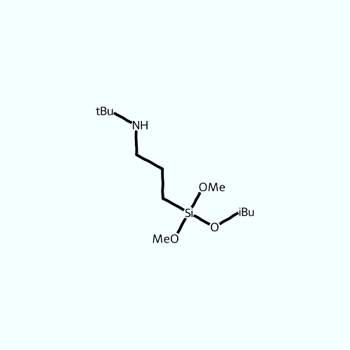 CCC(C)O[Si](CCCNC(C)(C)C)(OC)OC